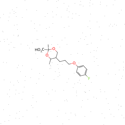 CC1OC(C)(C(=O)O)OCC1CCCOc1ccc(F)cc1